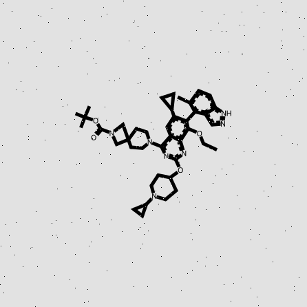 CCOc1c(-c2c(C)ccc3[nH]ncc23)c(C2CC2)cc2c(N3CCC4(CC3)CN(C(=O)OC(C)(C)C)C4)nc(OC3CCN(C4CC4)CC3)nc12